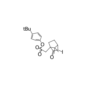 CC(C)(C)c1ccc(OS(=O)(=O)CC23CCC(C(I)C2=O)C3(C)C)cc1